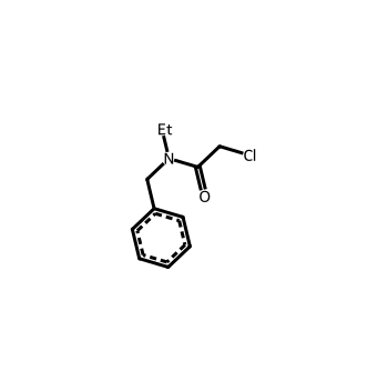 CCN(Cc1ccccc1)C(=O)CCl